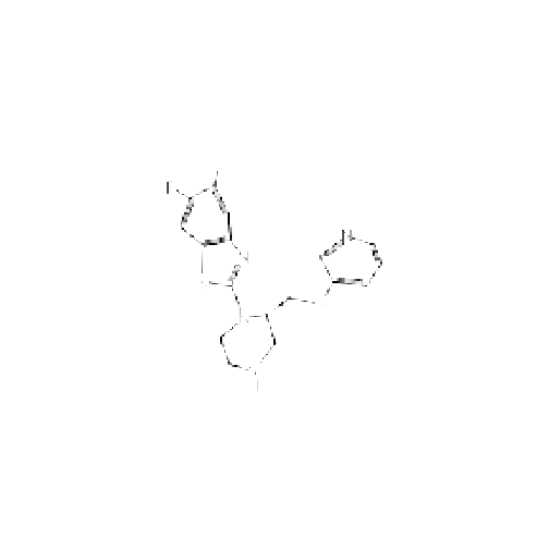 Fc1cc2nc(N3CCNC[C@@H]3COc3cccnc3)sc2cc1F